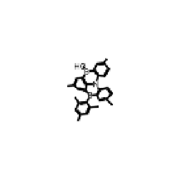 Cc1cc(C)c(B2c3cc(C)ccc3N3c4ccc(C)cc4B(O)c4cc(C)cc2c43)c(C)c1